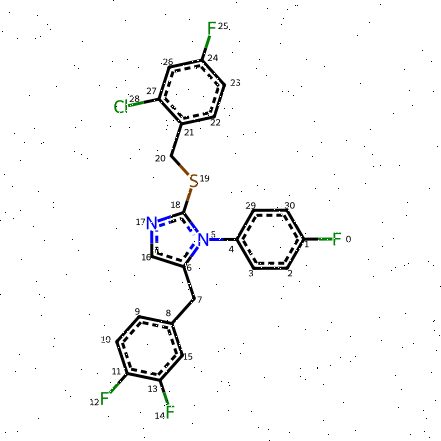 Fc1ccc(-n2c(Cc3ccc(F)c(F)c3)cnc2SCc2ccc(F)cc2Cl)cc1